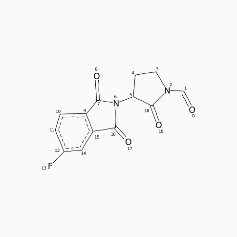 O=CN1CCC(N2C(=O)c3ccc(F)cc3C2=O)C1=O